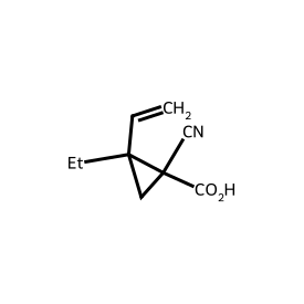 C=CC1(CC)CC1(C#N)C(=O)O